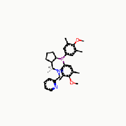 COc1c(C)cc(P(c2cc(C)c(OC)c(C)c2)C2CCCC2[C@@H](C)NCc2ccccn2)cc1C